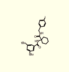 CC(C)(C)c1cc(C(=O)NC2(C(=O)NCc3ccc(I)cc3)CCCCC2)cc(C(C)(C)C)c1